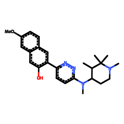 COc1ccc2cc(-c3ccc(N(C)C4CCN(C)C(C)(C)C4C)nn3)c(O)cc2c1